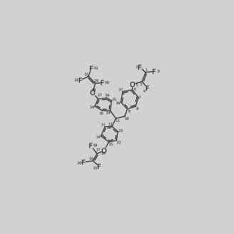 FC(F)=C(F)Oc1ccc(CC(c2ccc(OC(F)=C(F)F)cc2)c2ccc(OC(F)=C(F)F)cc2)cc1